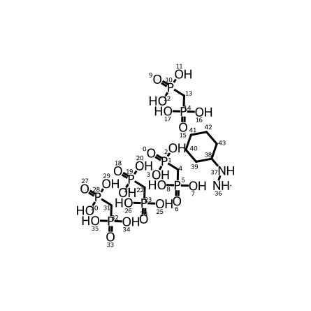 O=P(O)(O)CP(=O)(O)O.O=P(O)(O)CP(=O)(O)O.O=P(O)(O)CP(=O)(O)O.O=P(O)(O)CP(=O)(O)O.[NH]NC1CCCCC1